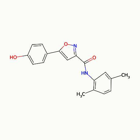 Cc1ccc(C)c(NC(=O)c2cc(-c3ccc(O)cc3)on2)c1